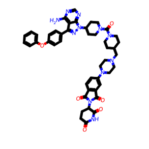 Nc1ncnc2c1c(-c1ccc(Oc3ccccc3)cc1)nn2C1CCN(C(=O)N2CCC(CN3CCN(c4ccc5c(c4)C(=O)N(C4CCC(=O)NC4=O)C5=O)CC3)CC2)CC1